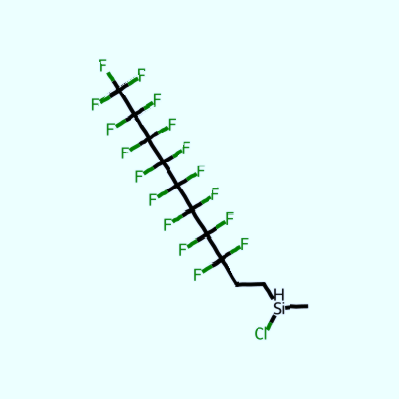 C[SiH](Cl)CCC(F)(F)C(F)(F)C(F)(F)C(F)(F)C(F)(F)C(F)(F)C(F)(F)C(F)(F)F